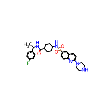 C[C@@H](NC(=O)C1CCC(NS(=O)(=O)c2ccc3nc(N4CCNCC4)ccc3c2)CC1)c1ccc(F)cc1